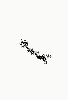 COc1ccc(Cl)cc1N1CCN(CCCNc2cnc(C(=O)NCCNc3nccc(C(N)=O)n3)cn2)CC1